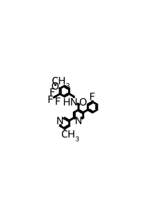 COc1ccc(CNC(=O)c2cc(-c3cncc(C)c3)ncc2-c2cccc(F)c2)cc1C(F)(F)F